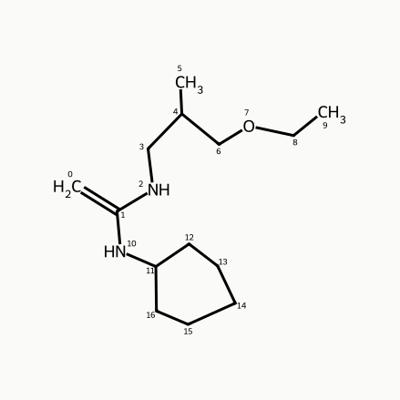 C=C(NCC(C)COCC)NC1CCCCC1